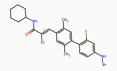 CC/C(=C\c1cc(C)c(-c2ccc(NC(C)C)cc2F)cc1C)C(=O)NC1CCCCC1